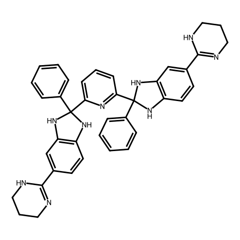 c1ccc(C2(c3cccc(C4(c5ccccc5)Nc5ccc(C6=NCCCN6)cc5N4)n3)Nc3ccc(C4=NCCCN4)cc3N2)cc1